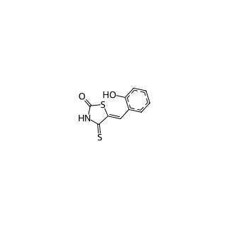 O=C1NC(=S)C(=Cc2ccccc2O)S1